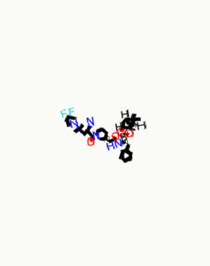 CC1(C)[C@@H]2C[C@H]3OB([C@H](Cc4ccccc4)NC(=O)C[C@@H]4CCCN(C(=O)C(C#N)CC(C)(C)N5CCC(F)(F)C5)C4)O[C@@]3(C)[C@H]1C2